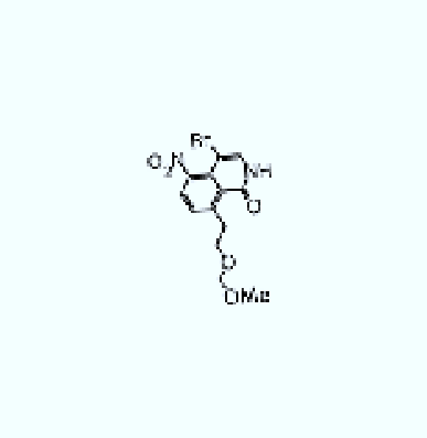 COCOCCc1ccc([N+](=O)[O-])c2c(Br)c[nH]c(=O)c12